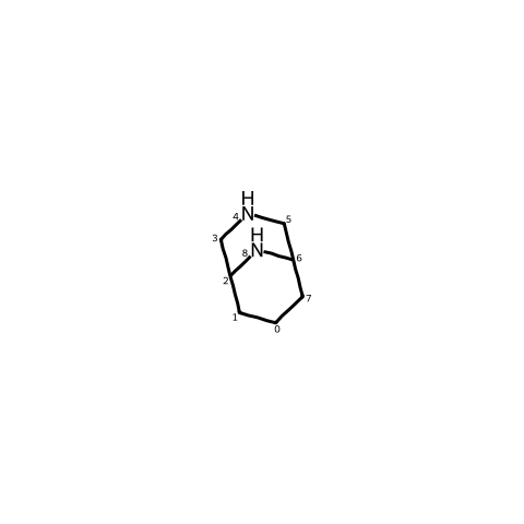 C1CC2CNCC(C1)N2